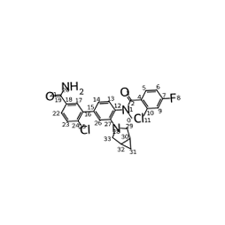 CN(C(=O)c1ccc(F)cc1Cl)c1ccc(-c2cc(C(N)=O)ccc2Cl)cc1N1CC2CC2C1